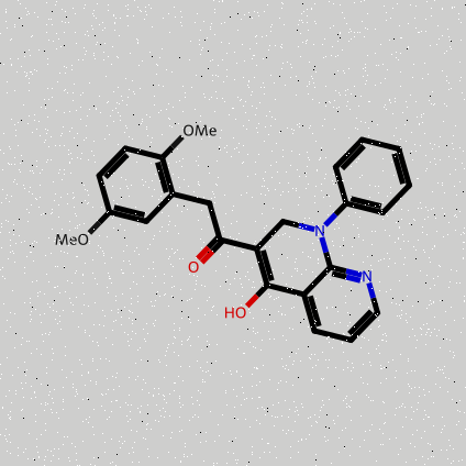 COc1ccc(OC)c(CC(=O)C2=C(O)c3cccnc3N(c3ccccc3)C2)c1